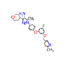 Cc1ncc(COc2cc(F)cc(Oc3ccc(-n4nc(C5CCOCC5)c(N)c4C#N)cc3)c2)s1